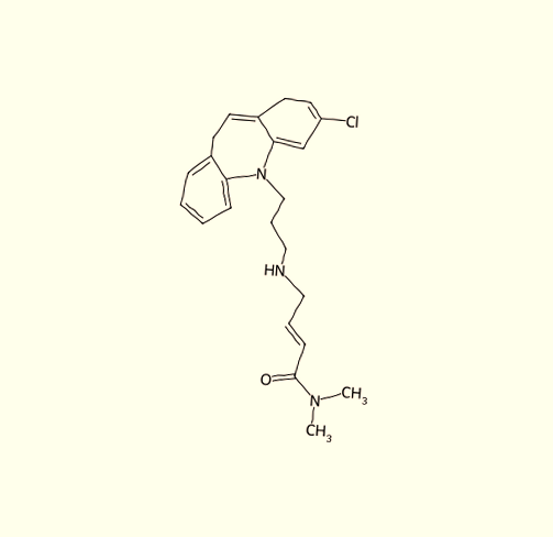 CN(C)C(=O)/C=C/CNCCCN1C2=CC(Cl)=CCC2=CCc2ccccc21